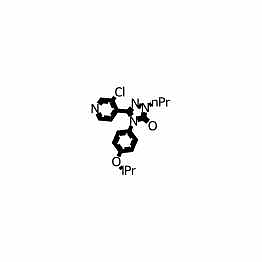 CCCn1nc(-c2ccncc2Cl)n(-c2ccc(OC(C)C)cc2)c1=O